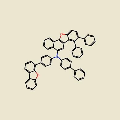 c1ccc(-c2ccc(N(c3ccc(-c4cccc5c4oc4ccccc45)cc3)c3cc4c(oc5ccc(-c6ccccc6)c(-c6ccccc6)c54)c4ccccc34)cc2)cc1